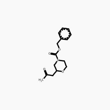 CC(=O)CC1CN(C(=O)OCc2ccccc2)CCO1